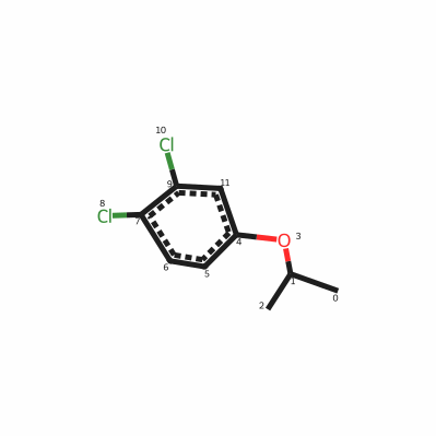 CC(C)Oc1ccc(Cl)c(Cl)c1